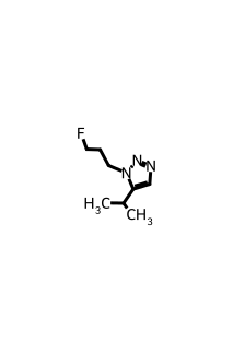 CC(C)c1cnnn1CCCF